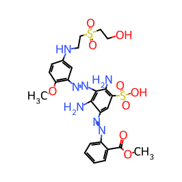 COC(=O)c1ccccc1/N=N/c1cc(S(=O)(=O)O)c(N)c(/N=N/c2cc(NCCS(=O)(=O)CCO)ccc2OC)c1N